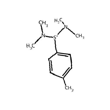 Cc1ccc([S+](N(C)C)N(C)C)cc1